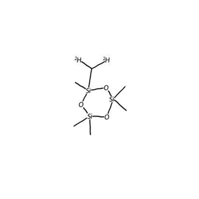 [2H]C([2H])[Si]1(C)O[Si](C)(C)O[Si](C)(C)O1